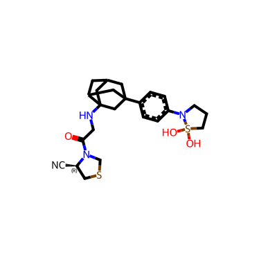 N#C[C@@H]1CSCN1C(=O)CNC12CC3CC1CC(c1ccc(N4CCCS4(O)O)cc1)(C3)C2